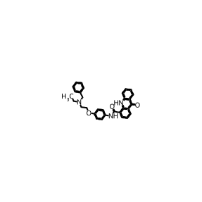 CCN(CCOc1ccc(NC(=O)c2cccc3c(=O)c4ccccc4[nH]c23)cc1)Cc1ccccc1